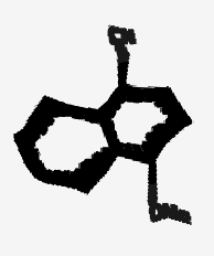 COc1ccc(C#N)c2ccccc12